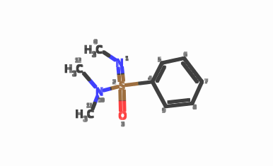 CN=S(=O)(c1ccccc1)N(C)C